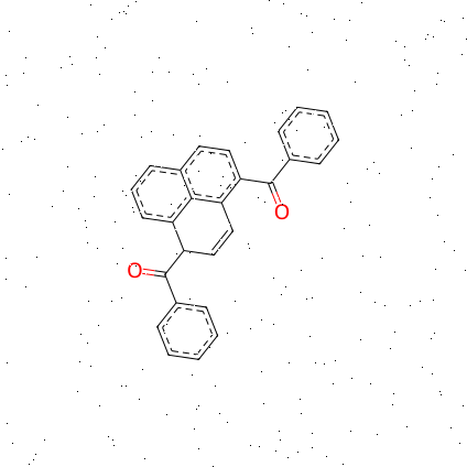 O=C(c1ccccc1)c1ccc2cccc3c2c1C=CC3C(=O)c1ccccc1